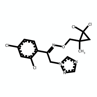 CC1(CON=C(Cn2cncn2)c2ccc(Cl)cc2Cl)CC1(Cl)Cl